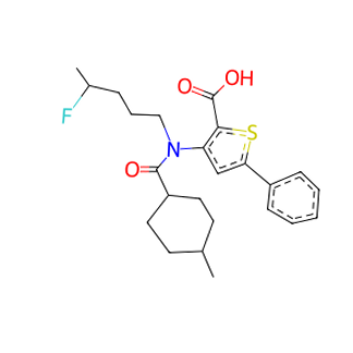 CC(F)CCCN(C(=O)C1CCC(C)CC1)c1cc(-c2ccccc2)sc1C(=O)O